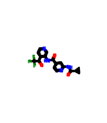 O=C(Nc1cnccc1C(=O)C(F)(F)F)c1ccnc(NC(=O)C2CC2)c1